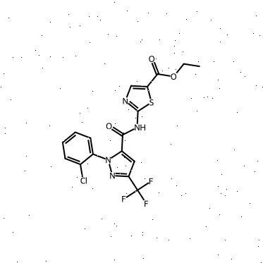 CCOC(=O)c1cnc(NC(=O)c2cc(C(F)(F)F)nn2-c2ccccc2Cl)s1